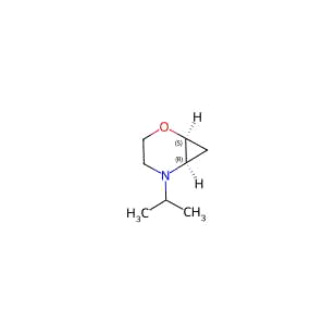 CC(C)N1CCO[C@H]2C[C@H]21